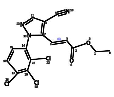 CCOC(=O)/C=C/c1c(C#N)cnn1-c1ccc(Cl)c(Cl)c1Cl